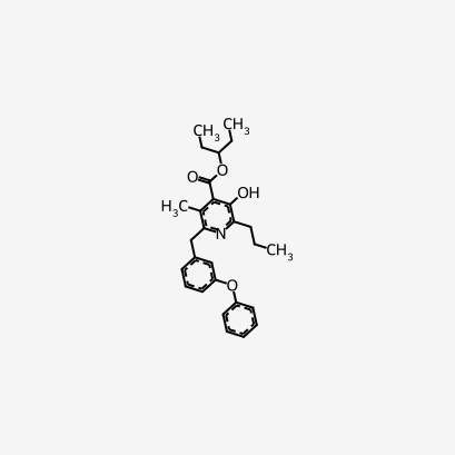 CCCc1nc(Cc2cccc(Oc3ccccc3)c2)c(C)c(C(=O)OC(CC)CC)c1O